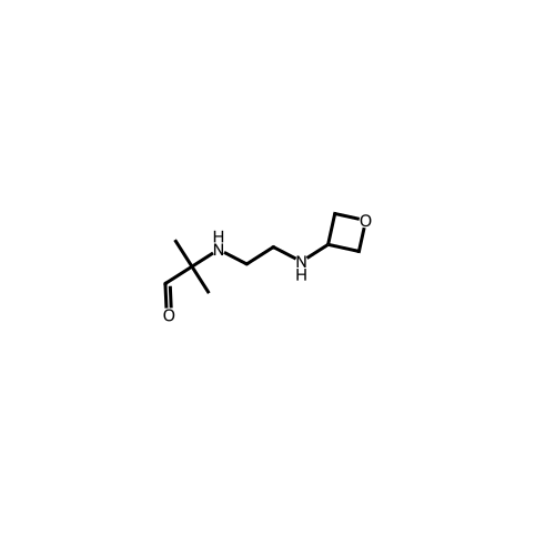 CC(C)(C=O)NCCNC1COC1